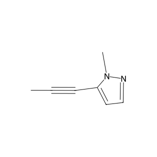 CC#Cc1ccnn1C